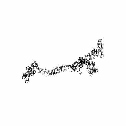 CC1(C)CCC(CN2CCN(c3ccc(C(=O)NS(=O)(=O)c4ccc(NCC5CCN(C6CCN(CCCCCCCC#Cc7cccc8c7C(=O)N(C7CCC(=O)NC7=O)C8=O)CC6)CC5)c([N+](=O)[O-])c4)c(Oc4cnc5[nH]ccc5c4)c3)CC2)=C(c2ccc(Cl)cc2)C1